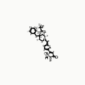 O=C1C=C(c2ccc(CN3CCC(Cc4ccccc4)(OC(=O)C(F)(F)F)CC3)s2)S(=O)(=O)N1